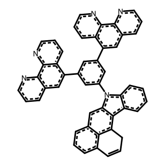 C1=Cc2cccc3cc4c(c(c23)C1)c1ccccc1n4-c1cc(-c2cc3cccnc3c3ncccc23)cc(-c2cc3cccnc3c3ncccc23)c1